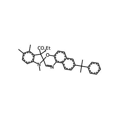 CCOC(=O)C1(C)c2c(ccc(C)c2C)N(C)C12C=Nc1c(ccc3cc(C(C)(C)c4ccccc4)ccc13)O2